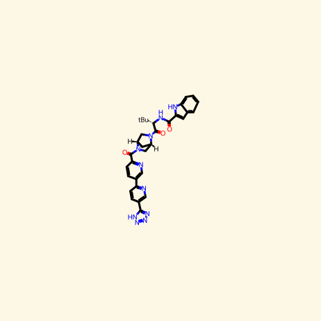 CC(C)(C)[C@H](NC(=O)c1cc2ccccc2[nH]1)C(=O)N1C[C@@H]2C[C@H]1CN2C(=O)c1ccc(-c2ccc(-c3nnn[nH]3)cn2)cn1